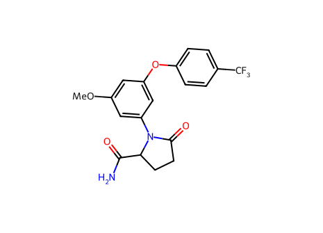 COc1cc(Oc2ccc(C(F)(F)F)cc2)cc(N2C(=O)CCC2C(N)=O)c1